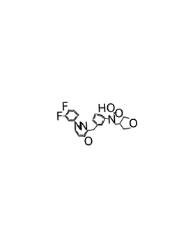 O=C(O)N(CC1CCOCC1)c1cccc(Cc2nn(-c3ccc(F)c(F)c3)ccc2=O)c1